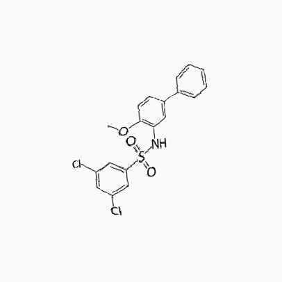 COc1ccc(-c2ccccc2)cc1NS(=O)(=O)c1cc(Cl)cc(Cl)c1